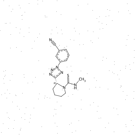 CNC(=S)N1CCCC[C@@H]1c1nnn(-c2cccc(C#N)c2)n1